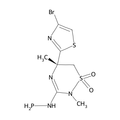 CN1C(NP)=N[C@](C)(c2nc(Br)cs2)CS1(=O)=O